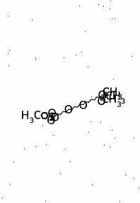 Cc1ccc(S(=O)(=O)OCCCCOCCCCOCCCCCC(=O)OC(C)(C)C)cc1